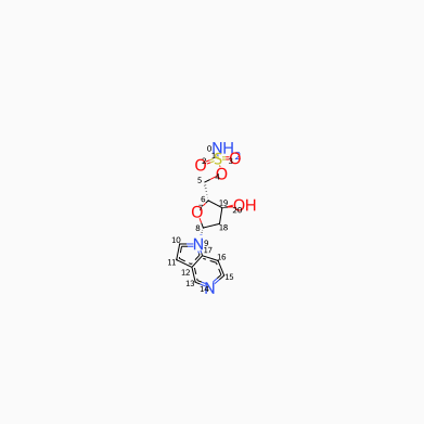 NS(=O)(=O)OC[C@H]1O[C@@H](n2ccc3cnccc32)C[C@@H]1O